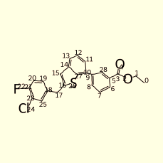 CCOC(=O)c1cccc(-c2cccc3cc(Cc4ccc(F)c(Cl)c4)sc23)c1